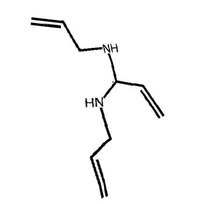 C=CCN[C](C=C)NCC=C